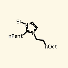 CCCCCCCCCCn1cc[n+](CC)c1CCCCC